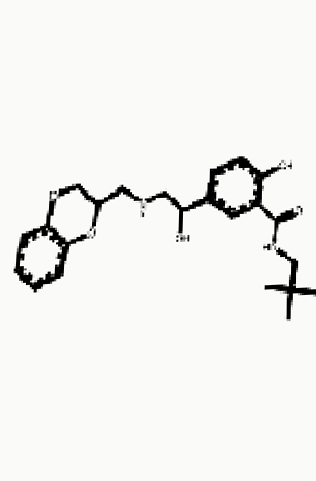 CC(C)(C)CNC(=O)c1cc(C(O)CNCC2COc3ccccc3O2)ccc1O